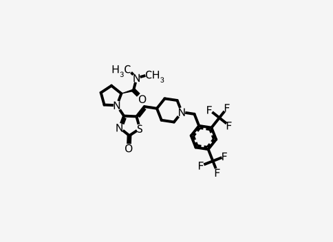 CN(C)C(=O)[C@@H]1CCCN1C1=NC(=O)S/C1=C\C1CCN(Cc2ccc(C(F)(F)F)cc2C(F)(F)F)CC1